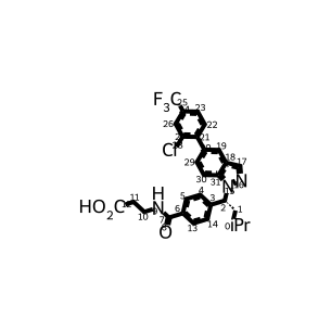 CC(C)C[C@H](c1ccc(C(=O)NCCC(=O)O)cc1)n1ncc2cc(-c3ccc(C(F)(F)F)cc3Cl)ccc21